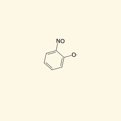 [O]c1ccccc1N=O